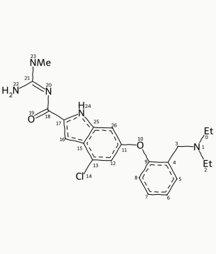 CCN(CC)Cc1ccccc1Oc1cc(Cl)c2cc(C(=O)N=C(N)NC)[nH]c2c1